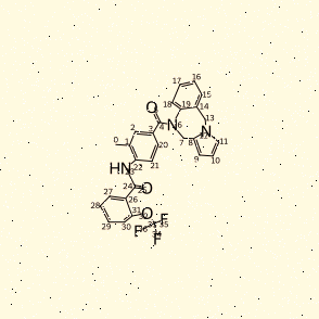 Cc1cc(C(=O)N2Cc3cccn3Cc3ccccc32)ccc1NC(=O)c1ccccc1OC(F)(F)F